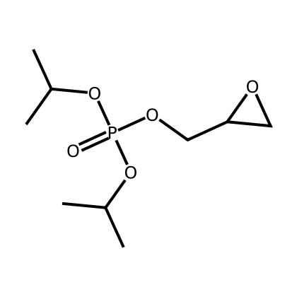 CC(C)OP(=O)(OCC1CO1)OC(C)C